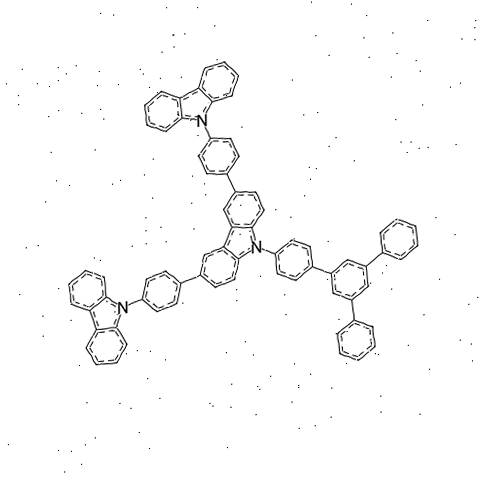 c1ccc(-c2cc(-c3ccccc3)cc(-c3ccc(-n4c5ccc(-c6ccc(-n7c8ccccc8c8ccccc87)cc6)cc5c5cc(-c6ccc(-n7c8ccccc8c8ccccc87)cc6)ccc54)cc3)c2)cc1